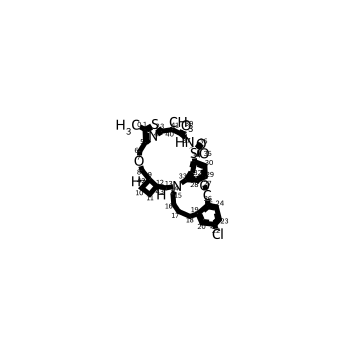 Cc1sc2nc1COC[C@@H]1CC[C@H]1CN1CCCCc3cc(Cl)ccc3COc3ccc(cc31)S(=O)(=O)NC(=O)C2C